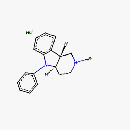 CC(C)N1CC[C@@H]2[C@@H](C1)c1ccccc1N2c1ccccc1.Cl